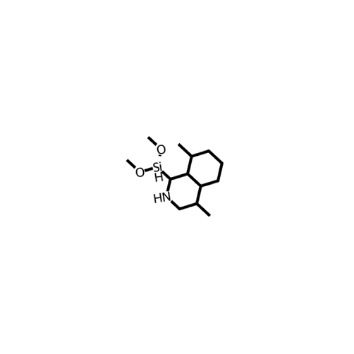 CO[SiH](OC)C1NCC(C)C2CCCC(C)C21